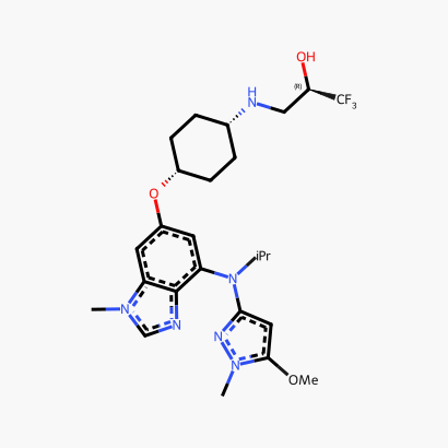 COc1cc(N(c2cc(O[C@H]3CC[C@@H](NC[C@@H](O)C(F)(F)F)CC3)cc3c2ncn3C)C(C)C)nn1C